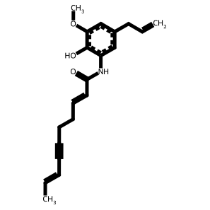 C=CCc1cc(NC(=O)/C=C/CCC#C/C=C/C)c(O)c(OC)c1